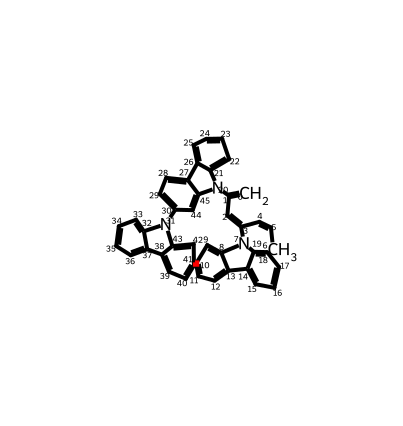 C=C(/C=C(\C=C/C)n1c2ccccc2c2ccccc21)n1c2ccccc2c2ccc(-n3c4ccccc4c4ccccc43)cc21